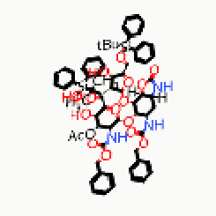 CC(=O)O[C@@H]1[C@H](O)[C@@H](CO)O[C@H](O[C@H]2[C@H](O[C@@H]3O[C@H](CO[Si](c4ccccc4)(c4ccccc4)C(C)(C)C)[C@@H](O)[C@H]3CC(C)(C)[Si](O)(c3ccccc3)c3ccccc3)[C@H]3OC(=O)N[C@@H]3C[C@@H]2NC(=O)OCc2ccccc2)[C@@H]1NC(=O)OCc1ccccc1